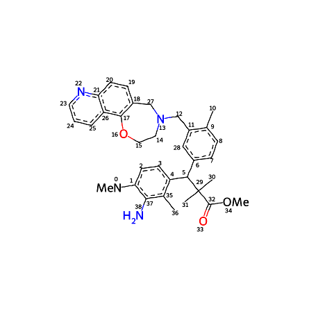 CNc1ccc(C(c2ccc(C)c(CN3CCOc4c(ccc5ncccc45)C3)c2)C(C)(C)C(=O)OC)c(C)c1N